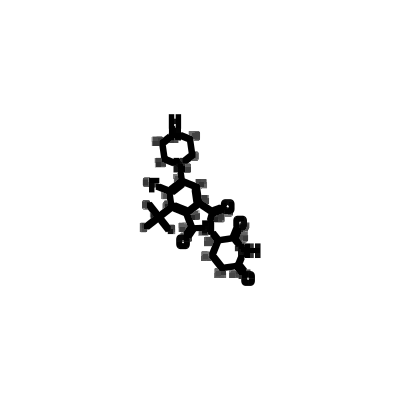 CC(C)(C)c1c(F)c(N2CCNCC2)cc2c1C(=O)N(C1CCC(=O)NC1=O)C2=O